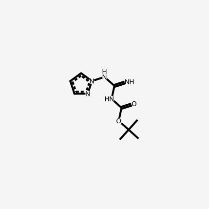 CC(C)(C)OC(=O)NC(=N)Nn1cccn1